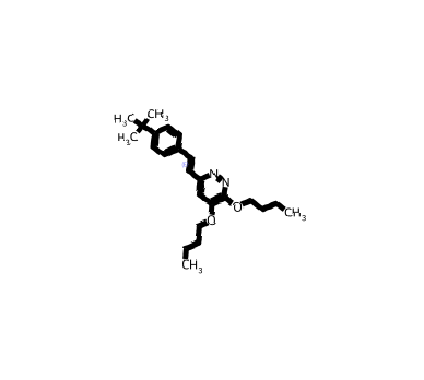 CCCCOc1cc(/C=C/c2ccc(C(C)(C)C)cc2)nnc1OCCCC